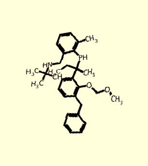 CCC(C)(Pc1c(C)cccc1CNC(C)(C)C)c1cccc(Cc2ccccc2)c1OCOC